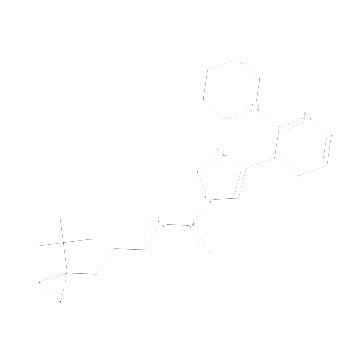 O=C(NCCCC1(C(F)(F)F)CC1)n1cnc(-c2cccnc2N2CCCCC2)c1